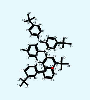 Cc1cc2c3c(c1)N(c1ccc(C(C)(C)C)cc1-c1ccccc1)c1ccc(C(C)(C)C)cc1B3c1cc(C(C)(C)C)ccc1N2c1ccc(C(C)(C)C)cc1